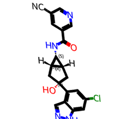 N#Cc1cncc(C(=O)N[C@@H]2[C@@H]3C[C@@](O)(c4cc(Cl)cc5[nH]ncc45)C[C@@H]32)c1